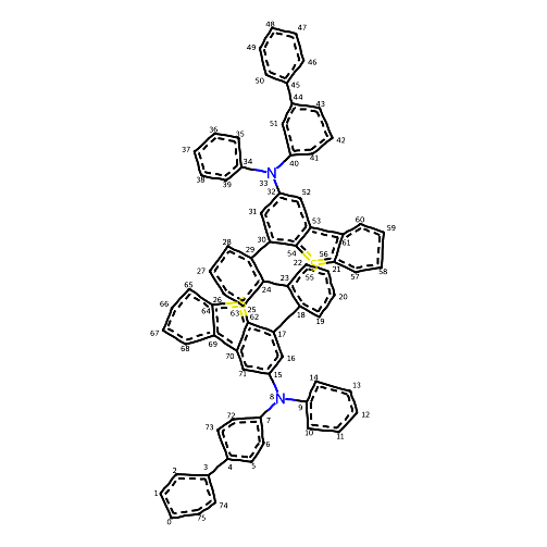 c1ccc(-c2ccc(N(c3ccccc3)c3cc(-c4ccccc4-c4ccccc4-c4cc(N(c5ccccc5)c5cccc(-c6ccccc6)c5)cc5c4sc4ccccc45)c4sc5ccccc5c4c3)cc2)cc1